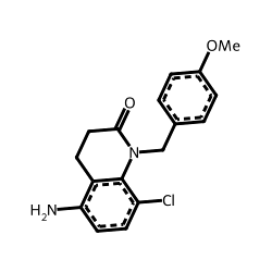 COc1ccc(CN2C(=O)CCc3c(N)ccc(Cl)c32)cc1